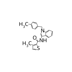 Cc1ccc(Cn2cc(NC(=O)c3sccc3C)c3ccccc32)cc1